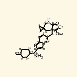 COC(=O)C1(Cc2ccc3nc([C@@H](N)C4CCC(C)CC4)cn3n2)CC2(CC2)CNC1=O